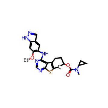 CCOc1cc2[nH]ncc2cc1Nc1ncnc2sc3c(c12)CCC(OC(=O)N(C)C1CC1)C3